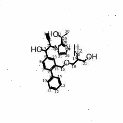 C#CC(C(O)c1ccc(-c2ccccc2)c(COCC(N)CO)c1)n1ccnc1[C@H](C)O